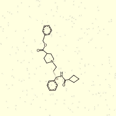 O=C(N[C@@H](CCN1CCC(C(=O)OCc2ccccc2)CC1)c1ccccc1)C1CCC1